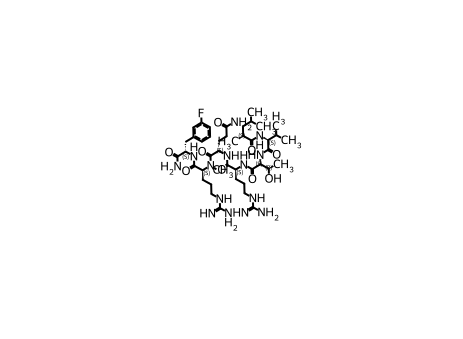 CC(C)C[C@H](C)C(=O)N[C@H](C(=O)N[C@H](C(=O)N[C@@H](CCCNC(=N)N)C(=O)N[C@@H](CCC(N)=O)C(=O)N(C)[C@@H](CCCNC(=N)N)C(=O)N[C@@H](Cc1cccc(F)c1)C(N)=O)[C@@H](C)O)C(C)C